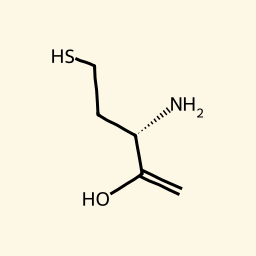 C=C(O)[C@@H](N)CCS